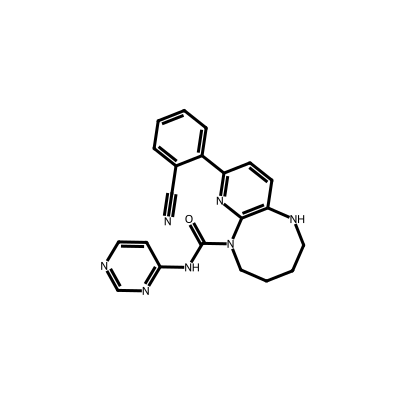 N#Cc1ccccc1-c1ccc2c(n1)N(C(=O)Nc1ccncn1)CCCCN2